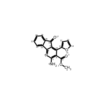 COC(=O)c1c(N)nc2c(c1-c1ccco1)C(=O)c1ccccc1-2